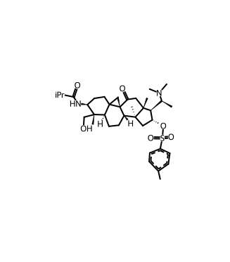 Cc1ccc(S(=O)(=O)O[C@@H]2C[C@@]3(C)[C@@H]4CC[C@@H]5C6(CC[C@H](NC(=O)C(C)C)[C@@]5(C)CO)C[C@@]46C(=O)C[C@]3(C)[C@H]2[C@H](C)N(C)C)cc1